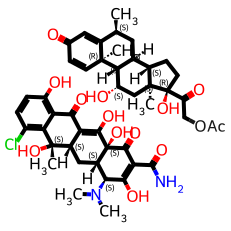 CC(=O)OCC(=O)[C@@]1(O)CC[C@H]2[C@@H]3C[C@H](C)C4=CC(=O)C=C[C@]4(C)[C@H]3[C@@H](O)C[C@@]21C.CN(C)[C@@H]1C(O)=C(C(N)=O)C(=O)[C@@]2(O)C(O)=C3C(=O)c4c(O)ccc(Cl)c4[C@@](C)(O)[C@H]3C[C@@H]12